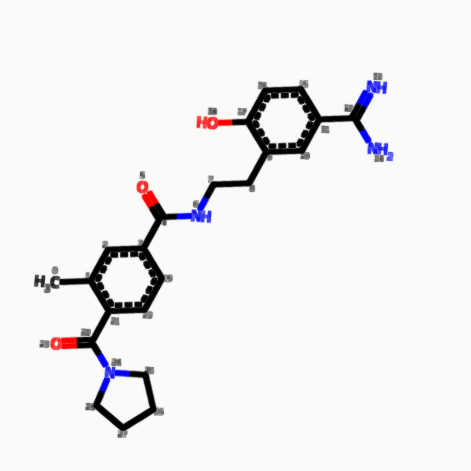 Cc1cc(C(=O)NCCc2cc(C(=N)N)ccc2O)ccc1C(=O)N1CCCC1